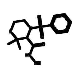 CC1(C)SCCN(S(=O)(=O)c2ccccc2)C1C(=O)NO